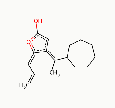 C=C/C=c1/oc(O)c/c1=C(/C)C1CCCCCC1